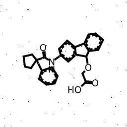 O=C(O)COC1c2ccccc2-c2ccc(NC(=O)C3(c4ccccc4)CCCC3)cc21